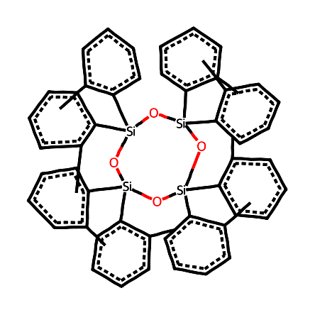 Cc1ccccc1[Si]1(c2ccccc2C)O[Si](c2ccccc2C)(c2ccccc2C)O[Si](c2ccccc2C)(c2ccccc2C)O[Si](c2ccccc2C)(c2ccccc2C)O1